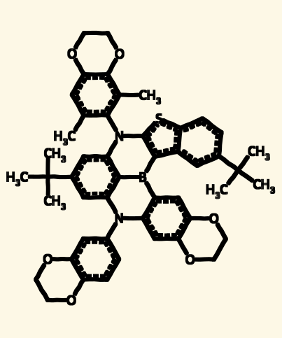 Cc1cc2c(c(C)c1N1c3cc(C(C)(C)C)cc4c3B(c3cc5c(cc3N4c3ccc4c(c3)OCCO4)OCCO5)c3c1sc1ccc(C(C)(C)C)cc31)OCCO2